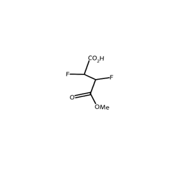 COC(=O)C(F)C(F)C(=O)O